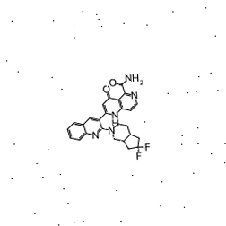 NC(=O)c1nccc2[nH]c(-c3cc4ccccc4nc3N3CCC4CC(F)(F)CC4C3)cc(=O)c12